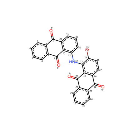 O=C1c2ccccc2C(=O)c2c(Nc3c(Br)ccc4c3C(=O)c3ccccc3C4=O)cccc21